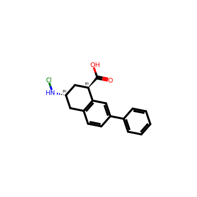 O=C(O)[C@@H]1C[C@@H](NCl)Cc2ccc(-c3ccccc3)cc21